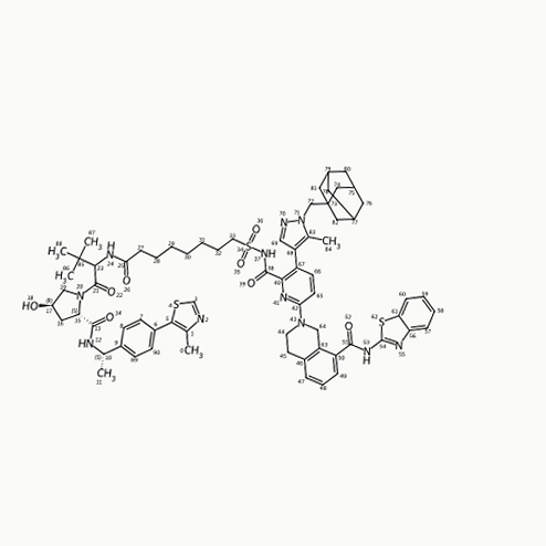 Cc1ncsc1-c1ccc([C@H](C)NC(=O)[C@@H]2C[C@@H](O)CN2C(=O)C(NC(=O)CCCCCCCS(=O)(=O)NC(=O)c2nc(N3CCc4cccc(C(=O)Nc5nc6ccccc6s5)c4C3)ccc2-c2cnn(CC34CC5CC(CC(C5)C3)C4)c2C)C(C)(C)C)cc1